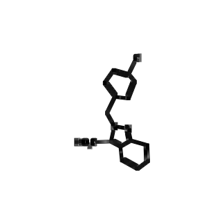 CCOC(=O)c1c2ccccc2nn1Cc1ccc(Cl)cc1